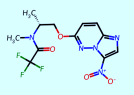 C[C@H](COc1ccc2ncc([N+](=O)[O-])n2n1)N(C)C(=O)C(F)(F)F